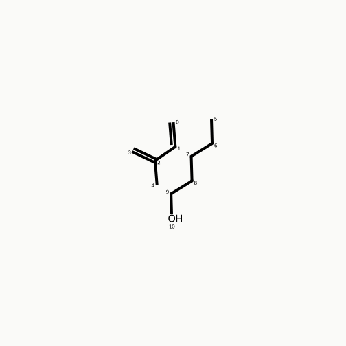 C=CC(=C)C.CCCCCO